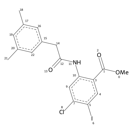 COC(=O)c1cc(I)c(Cl)cc1NC(=O)Cc1cc(C)cc(C)c1